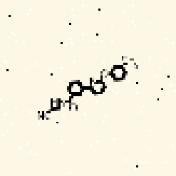 N#CCCNC(=O)c1cccc(-c2cccc(Oc3cccc(C(F)(F)F)c3)n2)c1